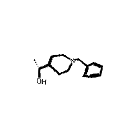 C[C@@H](O)C1CCN(Cc2ccccc2)CC1